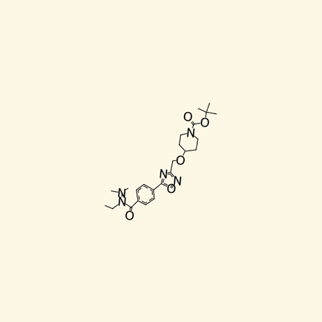 CCN(C(=O)c1ccc(-c2nc(COC3CCN(C(=O)OC(C)(C)C)CC3)no2)cc1)N(C)C